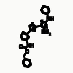 Nc1nc(Nc2ccccc2)sc1-c1nc(-c2cccc(NC(=O)OCc3ccccc3)c2)cs1